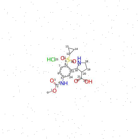 COC(=O)Nc1ccc(S(=O)(=O)C2CC2)c(C2NCCC2C(=O)O)c1.Cl